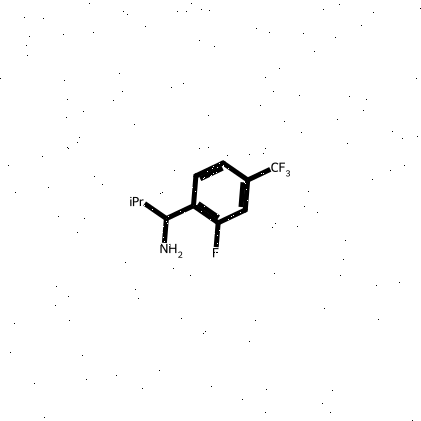 CC(C)C(N)c1ccc(C(F)(F)F)cc1F